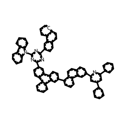 c1ccc(-c2cc(-c3ccccc3)nc(-c3ccc4ccc5c(-c6ccc7c8cc(-c9nc(-c%10ccc%11ccc%12ccccc%12c%11c%10)nc(-n%10c%11ccccc%11c%11ccccc%11%10)n9)ccc8c8ccccc8c7c6)cccc5c4c3)c2)cc1